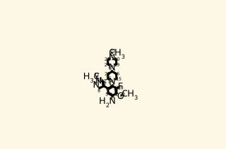 COc1c(N)cc(-c2cnn(C)c2)c(N2CCC(N3CCN(C)CC3)CC2)c1F